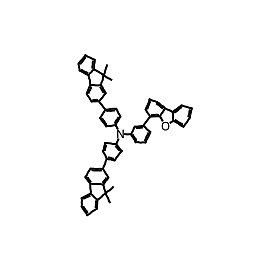 CC1(C)c2ccccc2-c2ccc(-c3ccc(N(c4ccc(-c5ccc6c(c5)C(C)(C)c5ccccc5-6)cc4)c4cccc(-c5cccc6c5oc5ccccc56)c4)cc3)cc21